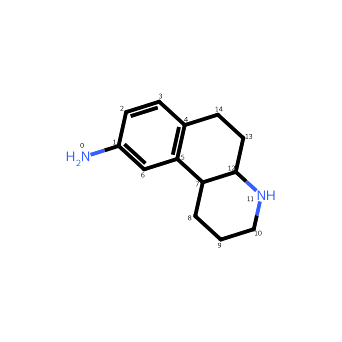 Nc1ccc2c(c1)C1CCCNC1CC2